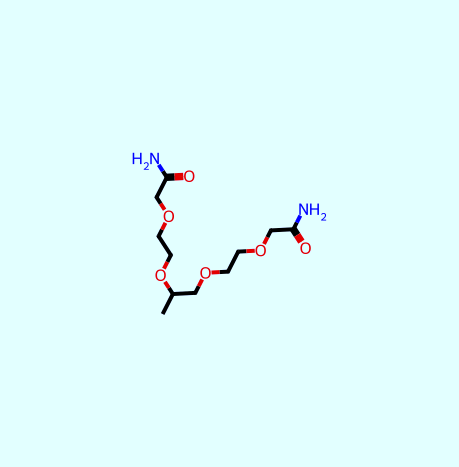 CC(COCCOCC(N)=O)OCCOCC(N)=O